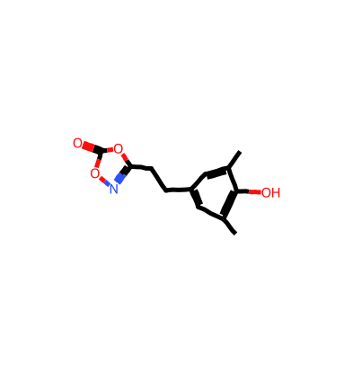 Cc1cc(CCc2noc(=O)o2)cc(C)c1O